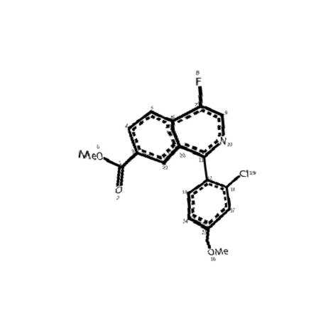 COC(=O)c1ccc2c(F)cnc(-c3ccc(OC)cc3Cl)c2c1